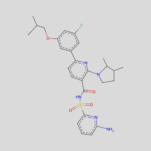 CC(C)COc1cc(F)cc(-c2ccc(C(=O)NS(=O)(=O)c3cccc(N)n3)c(N3CCC(C)C3C)n2)c1